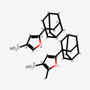 Cc1oc(C23CC4CC(CC(C4)C2)C3)cc1C(=O)O.O=C(O)c1coc(C23CC4CC(CC(C4)C2)C3)c1